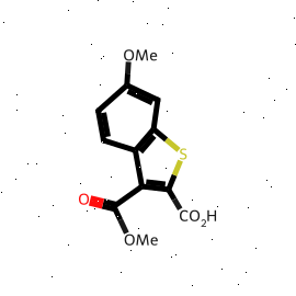 COC(=O)c1c(C(=O)O)sc2cc(OC)ccc12